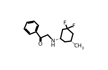 C[C@@H]1C[C@H](NCC(=O)c2ccccc2)CC(F)(F)C1